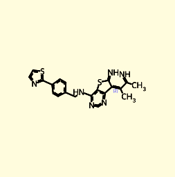 CC(=N)/C(C)=C1\C(=N)Sc2c(NCc3ccc(-c4nccs4)cc3)ncnc21